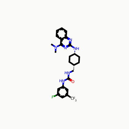 CN(C)c1nc(N[C@H]2CC[C@@H](CNC(=O)Nc3cc(F)cc(C(F)(F)F)c3)CC2)nc2ccccc12